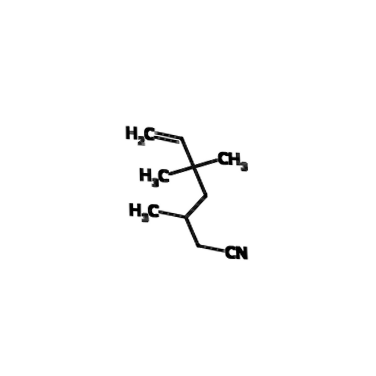 C=CC(C)(C)CC(C)CC#N